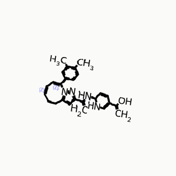 C=C(O)C1=CNC(NC(=C)c2cc3n(n2)/C(c2ccc(C)c(C)c2)=C\C=C/CC3)C=C1